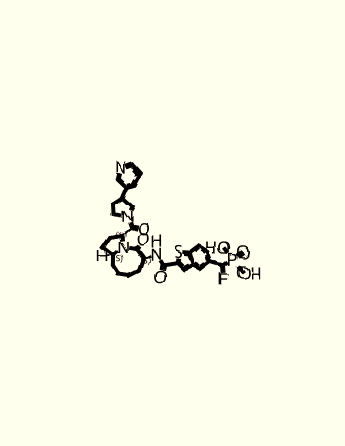 O=C(N[C@H]1CCCC[C@H]2CC[C@@H](C(=O)N3CCC(c4cccnc4)C3)N2C1=O)c1cc2cc(C(F)P(=O)(O)O)ccc2s1